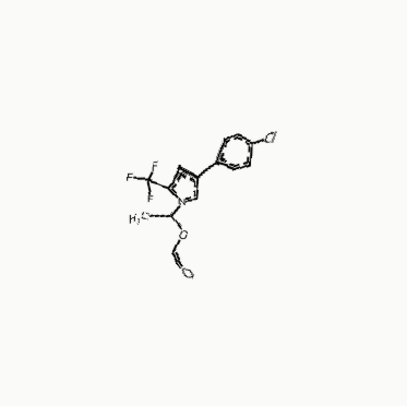 CC(OC=O)n1cc(-c2ccc(Cl)cc2)cc1C(F)(F)F